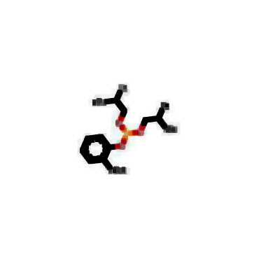 CCCCCCCCc1ccccc1OP(OCC(CC)CCCC)OCC(CC)CCCC